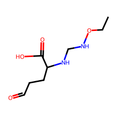 CCONCNC(CCC=O)C(=O)O